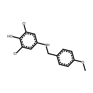 COc1ccc(CNc2cc(Cl)c(O)c(Cl)c2)cc1